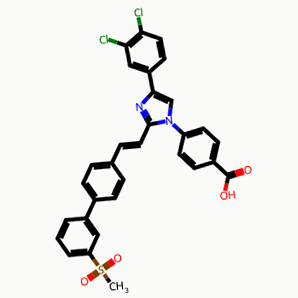 CS(=O)(=O)c1cccc(-c2ccc(C=Cc3nc(-c4ccc(Cl)c(Cl)c4)cn3-c3ccc(C(=O)O)cc3)cc2)c1